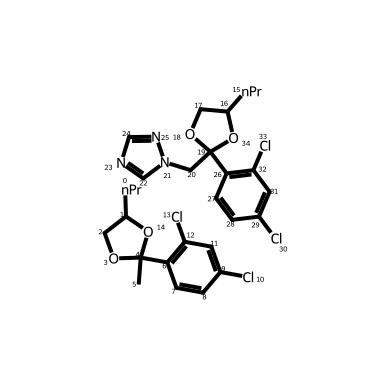 CCCC1COC(C)(c2ccc(Cl)cc2Cl)O1.CCCC1COC(Cn2cncn2)(c2ccc(Cl)cc2Cl)O1